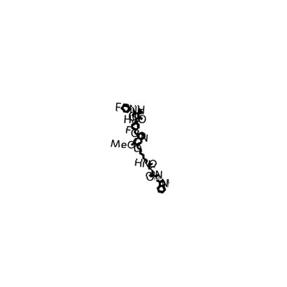 C=N[C@H](Cc1cn(C)c2ccccc12)C(=O)SCC(=O)NCCCCCOc1cc2nccc(Oc3ccc(NC(=O)C4(C(=O)Nc5ccc(F)cc5)CC4)cc3F)c2cc1OC